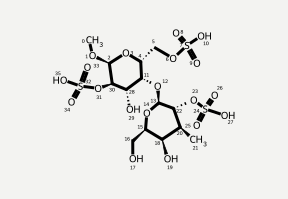 CO[C@H]1O[C@H](COS(=O)(=O)O)[C@H](O[C@@H]2O[C@H](CO)[C@H](O)[C@H](C)[C@H]2OS(=O)(=O)O)[C@H](O)[C@H]1OS(=O)(=O)O